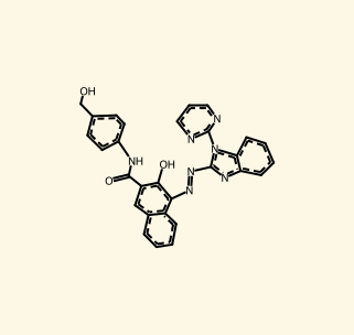 O=C(Nc1ccc(CO)cc1)c1cc2ccccc2c(/N=N/c2nc3ccccc3n2-c2ncccn2)c1O